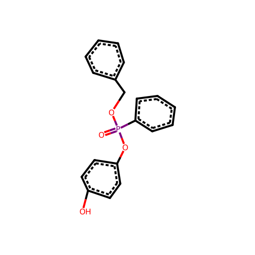 O=P(OCc1ccccc1)(Oc1ccc(O)cc1)c1ccccc1